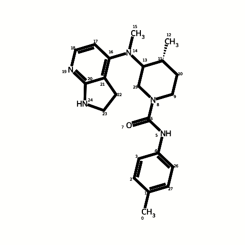 Cc1ccc(NC(=O)N2CC[C@@H](C)C(N(C)c3ccnc4c3CCN4)C2)cc1